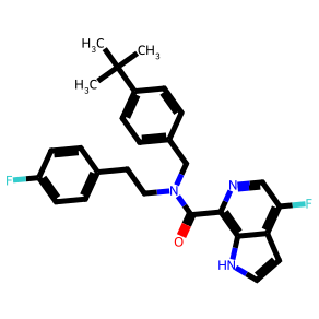 CC(C)(C)c1ccc(CN(CCc2ccc(F)cc2)C(=O)c2ncc(F)c3cc[nH]c23)cc1